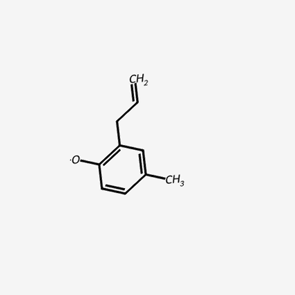 C=CCc1cc(C)ccc1[O]